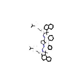 C=C(C)C(=O)OCCN1/C(=C/C=C2\CCC(/C=C/C3=[N+](CCOC(=O)C(=C)C)c4ccc5ccccc5c4C3(C)C)=C2N(c2ccccc2)c2ccccc2)C(C)(C)c2c1ccc1ccccc21